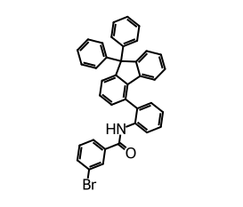 O=C(Nc1ccccc1-c1cccc2c1-c1ccccc1C2(c1ccccc1)c1ccccc1)c1cccc(Br)c1